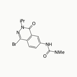 CNC(=O)Nc1ccc2c(Br)nn(C(C)C)c(=O)c2c1